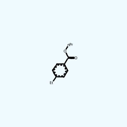 CCCOC(=O)c1ccc(CC)cc1